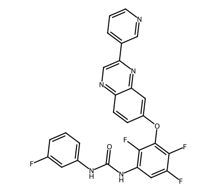 O=C(Nc1cccc(F)c1)Nc1cc(F)c(F)c(Oc2ccc3ncc(-c4cccnc4)nc3c2)c1F